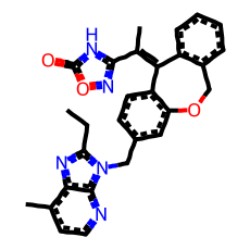 CCc1nc2c(C)ccnc2n1Cc1ccc2c(c1)OCc1ccccc1C2=C(C)c1noc(=O)[nH]1